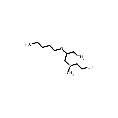 CCCCCOC(CC)CN(C)CCO